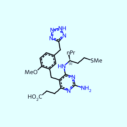 CCC[C@@H](CCSC)Nc1nc(N)nc(CCC(=O)O)c1Cc1cc(Cc2nn[nH]n2)ccc1OC